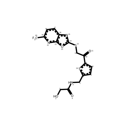 O=C(CO)NCc1ccc(C(=O)CSc2nc3ccc(C(F)(F)F)nc3o2)s1